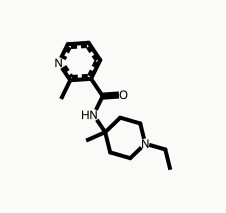 CCN1CCC(C)(NC(=O)c2cccnc2C)CC1